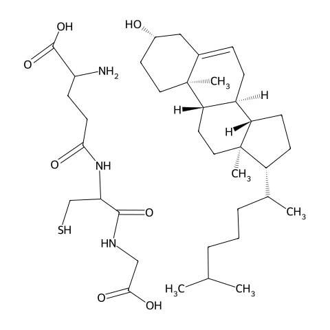 CC(C)CCCC(C)[C@H]1CC[C@H]2[C@@H]3CC=C4C[C@@H](O)CC[C@]4(C)[C@H]3CC[C@]12C.NC(CCC(=O)NC(CS)C(=O)NCC(=O)O)C(=O)O